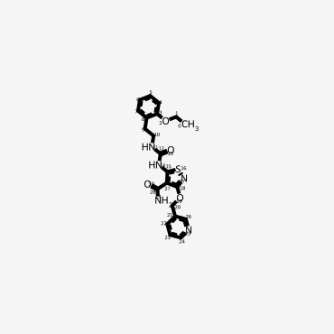 CCOc1ccccc1CCNC(=O)Nc1snc(OCc2cccnc2)c1C(N)=O